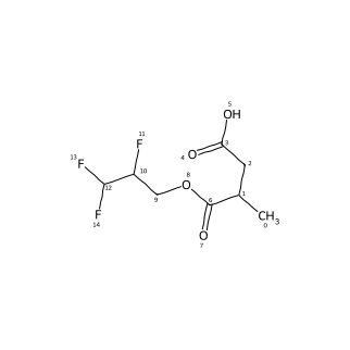 CC(CC(=O)O)C(=O)OCC(F)C(F)F